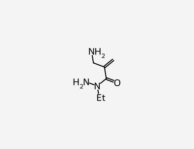 C=C(CN)C(=O)N(N)CC